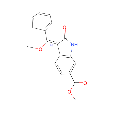 COC(=O)c1ccc2c(c1)NC(=O)/C2=C(/OC)c1ccccc1